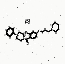 Cl.Cl.O=C(c1ccc(OCCCN2CCCCC2)cc1F)N1CCN(c2ccccc2)CC1